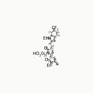 CCN1C(=O)/C(=c2/s/c(=C/C=C3\Sc4ccc(C(F)(F)F)cc4N3CC)c(=O)n2CC(=O)O)SC1=S